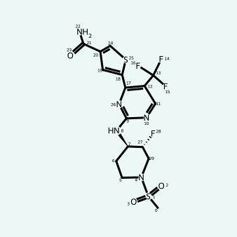 CS(=O)(=O)N1CC[C@@H](Nc2ncc(C(F)(F)F)c(-c3cc(C(N)=O)cs3)n2)[C@H](F)C1